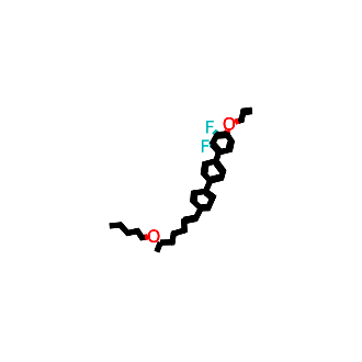 C=CCOc1ccc(-c2ccc(-c3ccc(C=CCCCC(C)OCCCCC)cc3)cc2)c(F)c1F